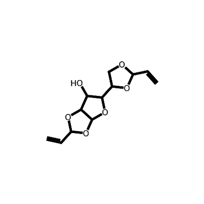 C=CC1OCC(C2OC3OC(C=C)OC3C2O)O1